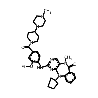 CCOc1cc(C(=O)N2CCC(N3CCN(C)CC3)CC2)ccc1Nc1ncc2c(n1)N(C1CCCC1)c1ccccc1C(=O)N2C